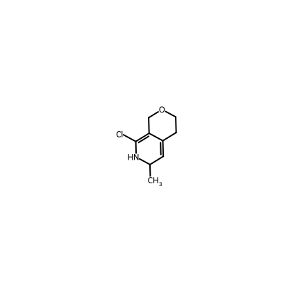 CC1C=C2CCOCC2=C(Cl)N1